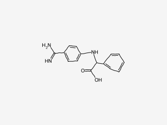 N=C(N)c1ccc(NC(C(=O)O)c2ccccc2)cc1